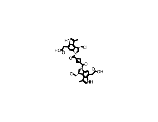 Cc1c[nH]c2c(CC(=O)O)cc3c(c12)[C@H](CCl)CN3C(=O)C12CC(C(=O)N3C[C@@H](CCl)c4c3cc(CC(=O)O)c3[nH]cc(C)c43)(C1)C2